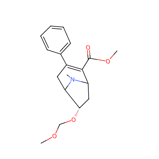 COCO[C@H]1CC2C(C(=O)OC)=C(c3ccccc3)CC1N2C